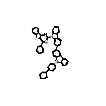 c1ccc(-c2ccc(-n3c4ccccc4c4cc(-c5ccc6c7ccccc7n(-c7nc(-c8ccccc8)c8oc9ccccc9c8n7)c6c5)ccc43)cc2)cc1